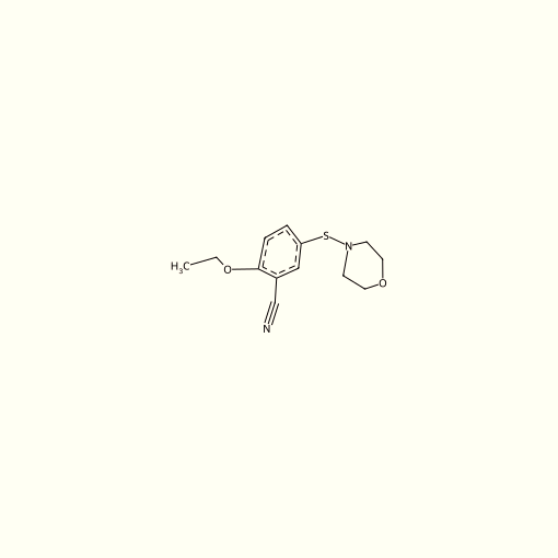 CCOc1ccc(SN2CCOCC2)cc1C#N